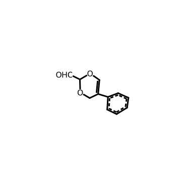 O=CC1OC=C(c2ccccc2)CO1